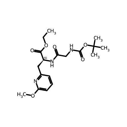 CCOC(=O)[C@H](Cc1cccc(OC)n1)NC(=O)CNC(=O)OC(C)(C)C